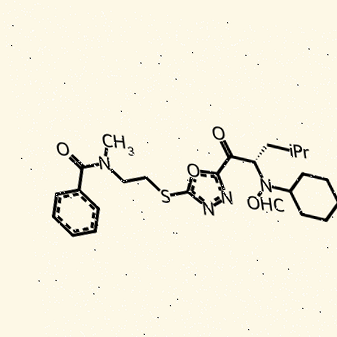 CC(C)C[C@@H](C(=O)c1nnc(SCCN(C)C(=O)c2ccccc2)o1)N(C=O)C1CCCCC1